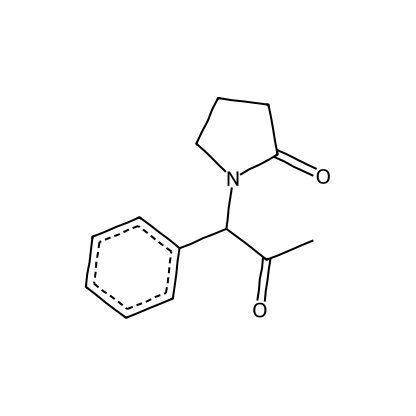 CC(=O)C(c1ccccc1)N1CCCC1=O